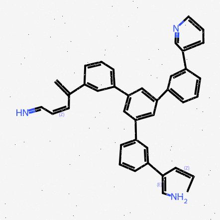 C=C(/C=C\C=N)c1cccc(-c2cc(-c3cccc(C(/C=C\C)=C/N)c3)cc(-c3cccc(-c4cccnc4)c3)c2)c1